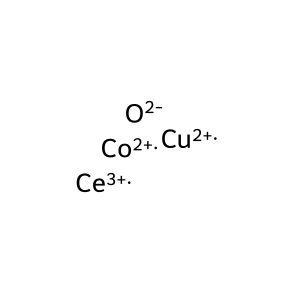 [Ce+3].[Co+2].[Cu+2].[O-2]